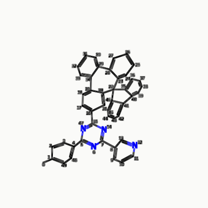 Cc1ccc(-c2nc(-c3cccnc3)nc(-c3ccc4c(c3)C3(c5ccccc5-c5ccccc5-4)c4ccccc4-c4ccccc43)n2)cc1